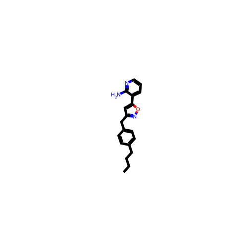 CCCCc1ccc(Cc2cc(-c3cccnc3N)on2)cc1